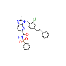 Cc1nc2ccc(C(=O)NS(=O)(=O)c3ccccc3)nc2n1Cc1ccc(/C=C/c2ccccc2)cc1Cl